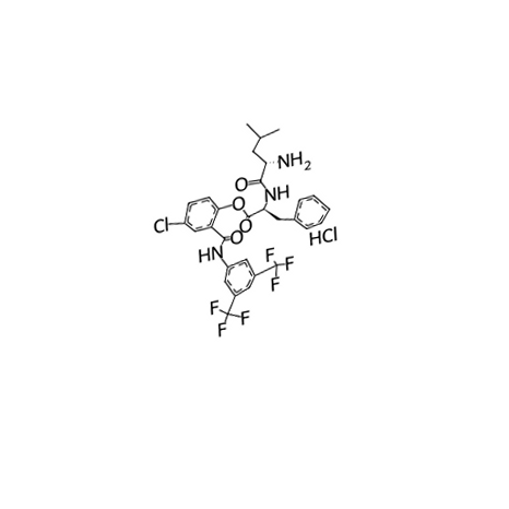 CC(C)C[C@H](N)C(=O)N[C@@H](Cc1ccccc1)C(=O)Oc1ccc(Cl)cc1C(=O)Nc1cc(C(F)(F)F)cc(C(F)(F)F)c1.Cl